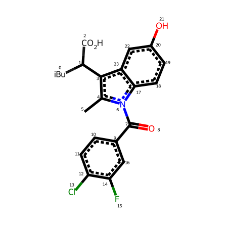 CCC(C)C(C(=O)O)c1c(C)n(C(=O)c2ccc(Cl)c(F)c2)c2ccc(O)cc12